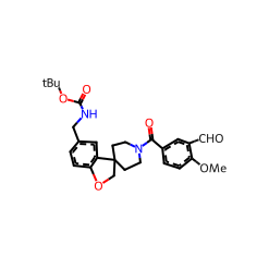 COc1ccc(C(=O)N2CCC3(CC2)COc2ccc(CNC(=O)OC(C)(C)C)cc23)cc1C=O